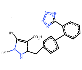 CCCN1NC(Cc2ccc(-c3ccccc3-c3nnn[nH]3)cc2)C(C(=O)O)=C1C(C)C